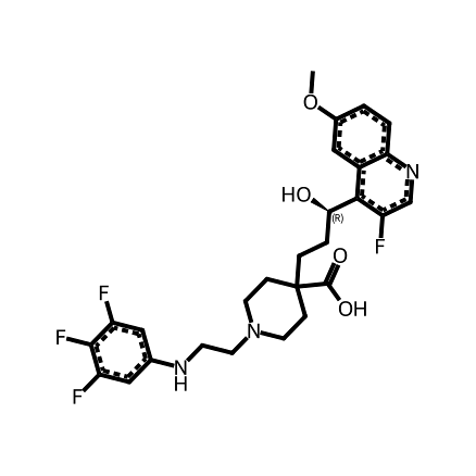 COc1ccc2ncc(F)c([C@H](O)CCC3(C(=O)O)CCN(CCNc4cc(F)c(F)c(F)c4)CC3)c2c1